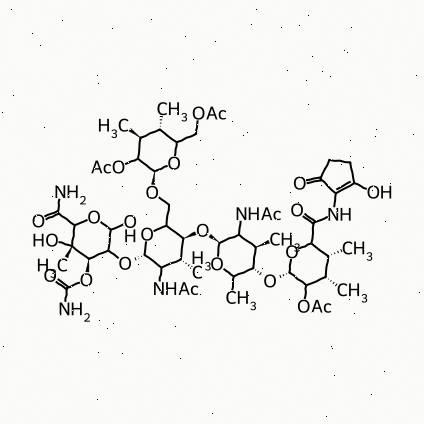 CC(=O)NC1[C@H](O[C@@H]2C(CO[C@@H]3OC(COC(C)=O)[C@@H](C)[C@H](C)C3OC(C)=O)O[C@@H](OC3C(O)OC(C(N)=O)[C@@](C)(O)[C@@H]3OC(N)=O)C(NC(C)=O)[C@H]2C)OC(C)[C@@H](O[C@@H]2OC(C(=O)NC3=C(O)CCC3=O)[C@H](C)[C@H](C)C2OC(C)=O)[C@@H]1C